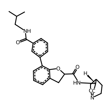 CC(C)CNC(=O)c1cccc(-c2cccc3c2OC(C(=O)N[C@H]2CN4CCC2CC4)C3)c1